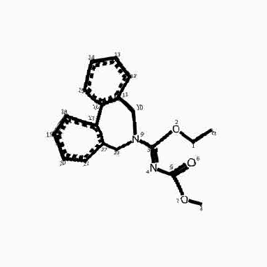 CCOC(=NC(=O)OC)N1Cc2ccccc2-c2ccccc2C1